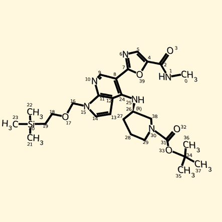 CNC(=O)c1cnc(-c2cnc3c(ccn3COCC[Si](C)(C)C)c2N[C@@H]2CCCN(C(=O)OC(C)(C)C)C2)o1